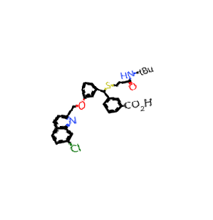 CC(C)(C)NC(=O)CCSC(c1cccc(OCc2ccc3ccc(Cl)cc3n2)c1)c1cccc(C(=O)O)c1